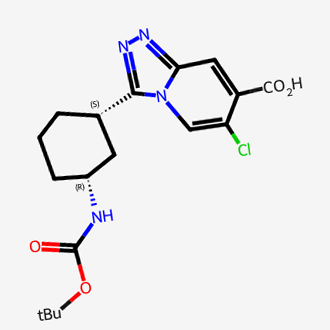 CC(C)(C)OC(=O)N[C@@H]1CCC[C@H](c2nnc3cc(C(=O)O)c(Cl)cn23)C1